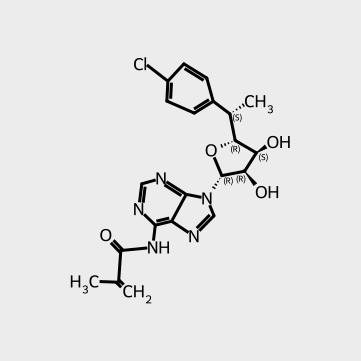 C=C(C)C(=O)Nc1ncnc2c1ncn2[C@@H]1O[C@H]([C@@H](C)c2ccc(Cl)cc2)[C@@H](O)[C@H]1O